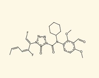 C\C=C/C=C(F)\C(=C\F)n1nnn(C(=O)N(c2ccc(OC)c(C=O)c2OC)C2CCCCC2)c1=O